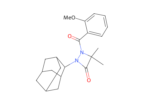 COc1ccccc1C(=O)N1N(C2C3CC4CC(C3)CC2C4)C(=O)C1(C)C